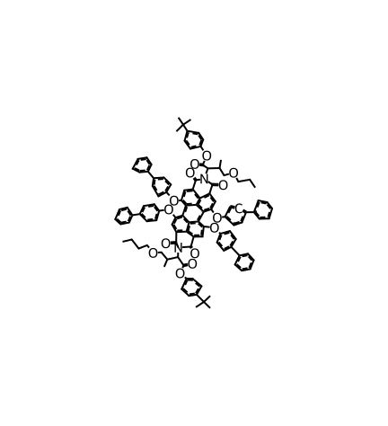 CCCCOCC(C)C(C(=O)Oc1ccc(C(C)(C)C)cc1)N1C(=O)c2cc(Oc3ccc(-c4ccccc4)cc3)c3c4c(Oc5ccc(-c6ccccc6)cc5)cc5c6c(cc(Oc7ccc(-c8ccccc8)cc7)c(c7c(Oc8ccc(-c9ccccc9)cc8)cc(c2c37)C1=O)c64)C(=O)N(C(C(=O)Oc1ccc(C(C)(C)C)cc1)C(C)COCCC)C5=O